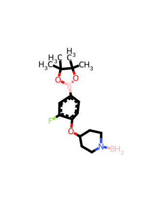 BN1CCC(Oc2ccc(B3OC(C)(C)C(C)(C)O3)cc2F)CC1